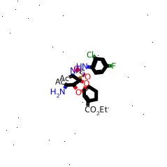 CCOC(=O)C1=CC2(CCC1)OC(C(N)C(C)=O)C(C(N)C(C)=O)(S(=O)(=O)Nc1ccc(F)cc1Cl)O2